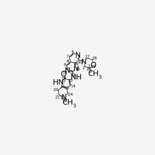 C[C@@H]1CN(c2nccc3cnc(Nc4cc5c([nH]c4=O)CCN(C)C5)nc23)CCO1